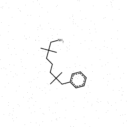 CC(C)(CN)CCCC(C)(C)Cc1ccccc1